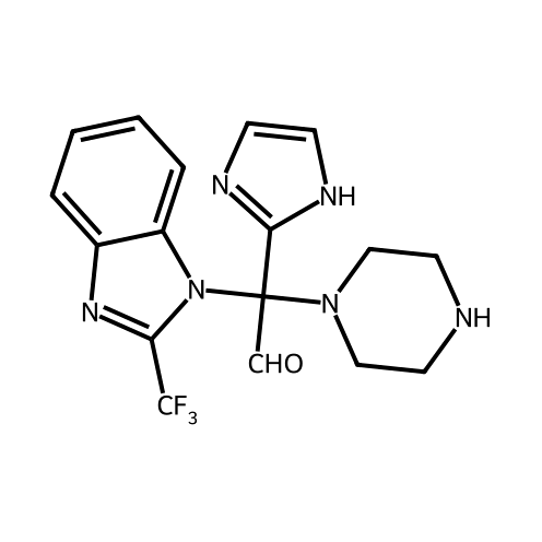 O=CC(c1ncc[nH]1)(N1CCNCC1)n1c(C(F)(F)F)nc2ccccc21